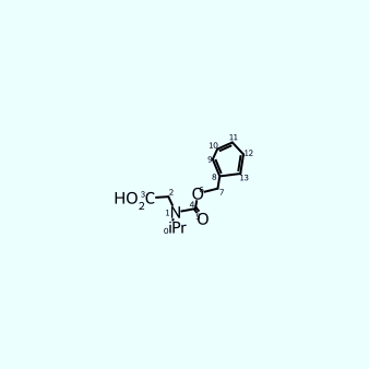 CC(C)N(CC(=O)O)C(=O)OCc1ccccc1